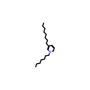 CCCCCCCCc1ccc[n+](CCCCCCC)c1